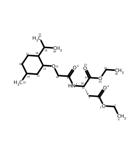 CCOC(=O)C[C@H](NC(=O)COC1CC(C)CCC1C(C)C)C(=O)OCC